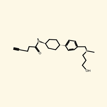 C#CCCC(=O)N(C)[C@H]1CC[C@H](c2ccc(CN(C)CCCO)cc2)CC1